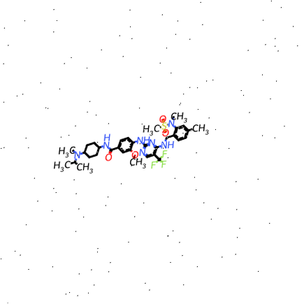 COc1cc(C(=O)NC2CCC(N(C)C(C)C)CC2)ccc1Nc1ncc(C(F)(F)F)c(NCc2ccc(C)cc2N(C)S(C)(=O)=O)n1